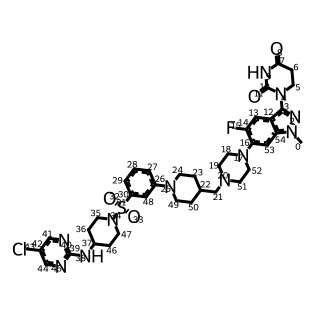 Cn1nc(N2CCC(=O)NC2=O)c2cc(F)c(N3CCN(CC4CCN(c5cccc(S(=O)(=O)N6CCC(Nc7ncc(Cl)cn7)CC6)c5)CC4)CC3)cc21